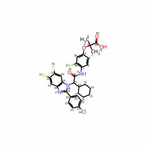 CC(C)(Oc1ccc(NC(=O)C(C2CCCCC2)n2c(-c3ccc(Cl)cc3)nc3cc(F)c(F)cc32)c(F)c1)C(=O)O